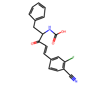 N#Cc1ccc(C=CC(=O)C(Cc2ccccc2)NC(=O)O)cc1F